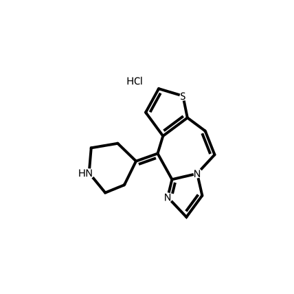 C1=Cn2ccnc2C(=C2CCNCC2)c2ccsc21.Cl